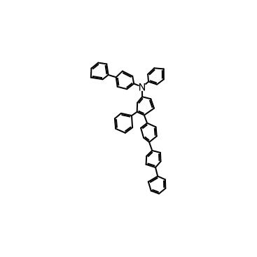 c1ccc(-c2ccc(-c3ccc(-c4ccc(N(c5ccccc5)c5ccc(-c6ccccc6)cc5)cc4-c4ccccc4)cc3)cc2)cc1